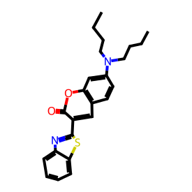 CCCCN(CCCC)c1ccc2cc(-c3nc4ccccc4s3)c(=O)oc2c1